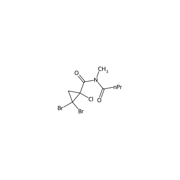 CCCC(=O)N(C)C(=O)C1(Cl)CC1(Br)Br